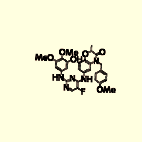 COc1ccc(CN2C(=O)C(C)Oc3ccc(Nc4nc(Nc5cc(O)c(OC)c(OC)c5)ncc4F)cc32)cc1